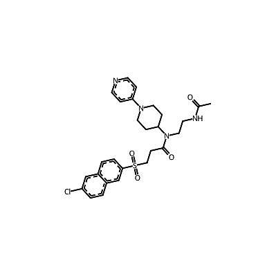 CC(=O)NCCN(C(=O)CCS(=O)(=O)c1ccc2cc(Cl)ccc2c1)C1CCN(c2ccncc2)CC1